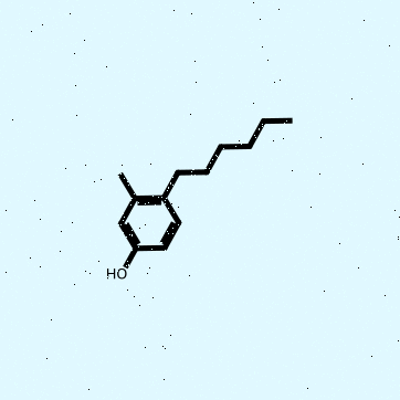 CCCCCCc1ccc(O)cc1C